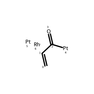 C=C[C](=O)[Pt].[Pt].[Rh]